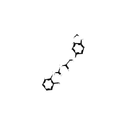 O=C(COc1ccc2c(c1)OCO2)NC(=O)Nc1ccccc1F